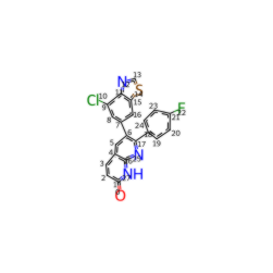 O=c1ccc2cc(-c3cc(Cl)c4ncsc4c3)c(-c3ccc(F)cc3)nc2[nH]1